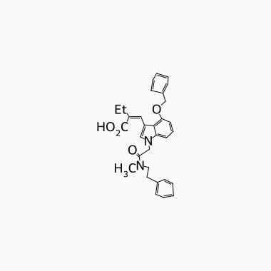 CCC(=Cc1cn(CC(=O)N(C)CCc2ccccc2)c2cccc(OCc3ccccc3)c12)C(=O)O